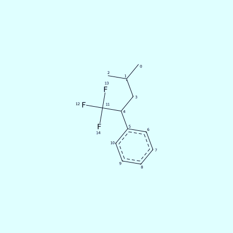 C[C](C)CC(c1ccccc1)C(F)(F)F